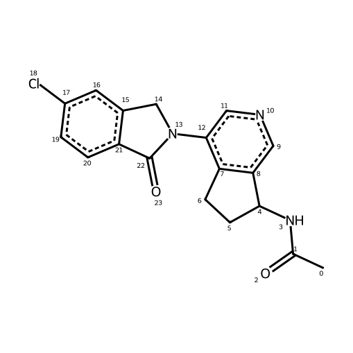 CC(=O)NC1CCc2c1cncc2N1Cc2cc(Cl)ccc2C1=O